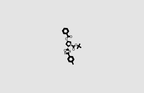 Cc1ccc(-c2noc([C@@H]3C[C@H](OC(=O)c4ccccc4)CN3C(=O)OC(C)(C)C)n2)cc1